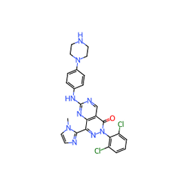 Cn1ccnc1-c1nn(-c2c(Cl)cccc2Cl)c(=O)c2cnc(Nc3ccc(N4CCNCC4)cc3)nc12